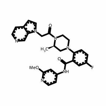 COc1cc(NC(=O)c2cc(F)ccc2N2CCN(C(=O)Cn3ccc4ccncc43)[C@H](C)C2)ccn1